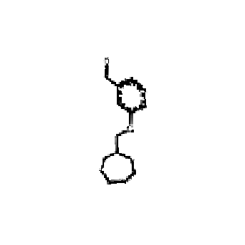 O=Cc1cccc(OCC2CCCCCC2)c1